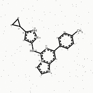 Cc1ccc(-c2cc3nccn3c(Nc3cc(C4CC4)[nH]n3)n2)cc1